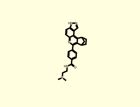 CN(C)CCNC(=O)c1ccc(-c2nc3ccc4[nH]ncc4c3c3c2C2CCC3C2)cc1